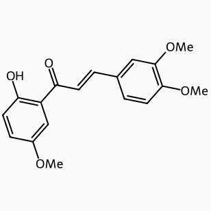 COc1ccc(O)c(C(=O)C=Cc2ccc(OC)c(OC)c2)c1